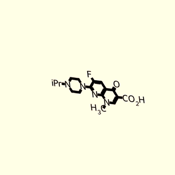 CC(C)N1CCN(c2nc3c(cc2F)c(=O)c(C(=O)O)cn3C)CC1